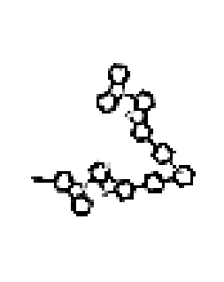 N#Cc1ccc2c(c1)c1ccccc1n2-c1ccnc2c1oc1ccc(-c3ccc(C4CCCC[C@@H]4c4ccc(-c5ccc6oc7c(-n8c9ccccc9c9ccccc98)cccc7c6c5)cc4)cc3)cc12